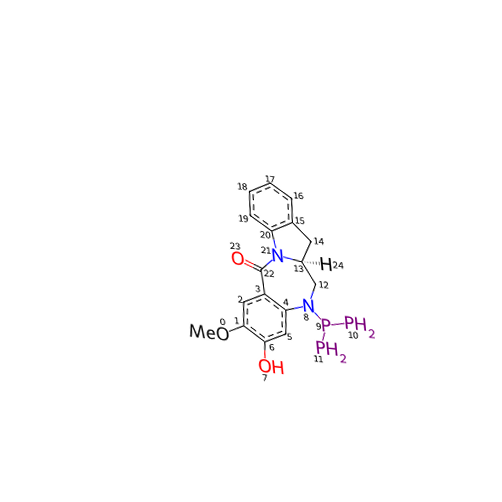 COc1cc2c(cc1O)N(P(P)P)C[C@@H]1Cc3ccccc3N1C2=O